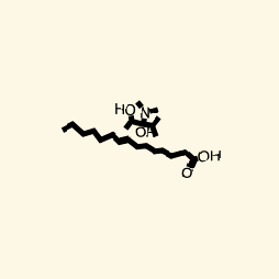 CC(C)C(O)(C(C)O)N(C)C.CCCCCCC=CCCCCCCC(=O)O